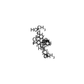 CC(O)COc1ccc(C(N)=O)c(-c2c(Cl)c(F)cc3c2[C@H](C)[C@@](CNC2CCC(C)(O)CC2)(c2ccccc2)O3)c1F